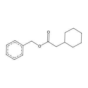 O=C(CC1CCCCC1)OCc1ccccc1